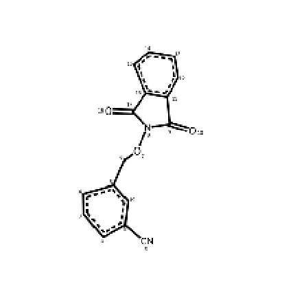 N#Cc1cccc(CON2C(=O)c3ccccc3C2=O)c1